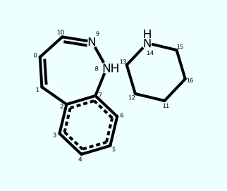 C1=Cc2ccccc2NN=C1.C1CCNCC1